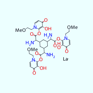 COCCn1ccc(=O)c(O)c1OC(=O)C(N)C1CC(C(N)C(=O)Oc2c(O)c(=O)ccn2CCOC)CC(C(N)C(=O)Oc2c(O)c(=O)ccn2CCOC)C1.[La]